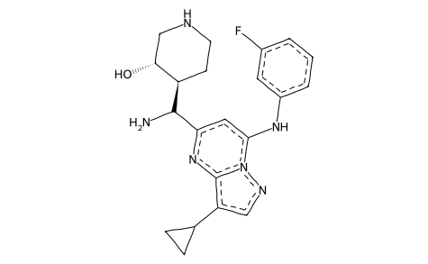 NC(c1cc(Nc2cccc(F)c2)n2ncc(C3CC3)c2n1)[C@@H]1CCNC[C@H]1O